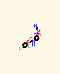 CN(C)CCN(C)c1nc2cc(NC(=O)COc3ccc(Cl)cc3Cl)ccc2o1